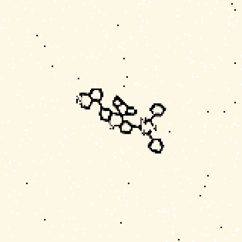 c1ccc(-c2nc(-c3ccccc3)nc(-c3ccc4c(c3)C3(c5cc(-c6cccc7cnccc67)ccc5S4)c4ccccc4-c4ccccc43)n2)cc1